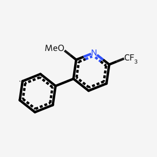 COc1nc(C(F)(F)F)ccc1-c1c[c]ccc1